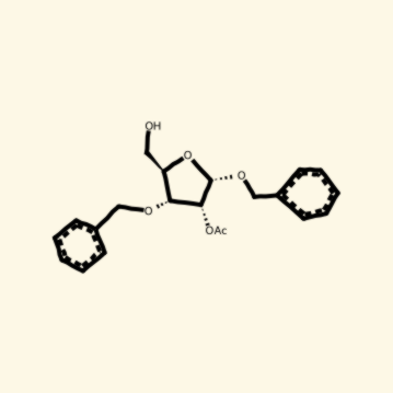 CC(=O)O[C@H]1[C@@H](OCc2ccccc2)O[C@H](CO)[C@H]1OCc1ccccc1